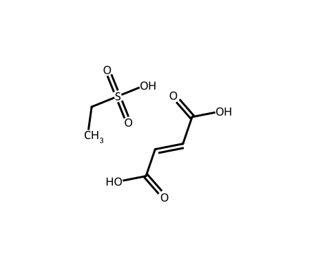 CCS(=O)(=O)O.O=C(O)/C=C/C(=O)O